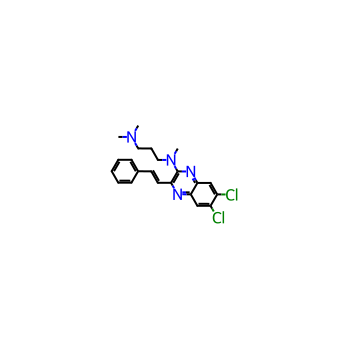 CN(C)CCCN(C)c1nc2cc(Cl)c(Cl)cc2nc1C=Cc1ccccc1